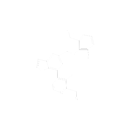 CCOC(=O)Cc1cccc(F)c1OCc1cc(-c2ccnc(CN)c2F)c2occc2c1